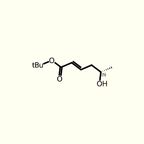 C[C@H](O)CC=CC(=O)OC(C)(C)C